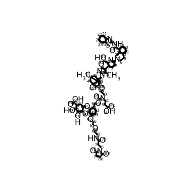 Cc1c(-c2ccc(N3CCc4cccc(C(=O)Nc5nc6ccccc6s5)c4C3)nc2C(=O)O)cnn1CC12CC3(C)CC(C)(C1)CC(OCCN(CCC(=O)O)C(=O)OCc1ccc(OCCOCCNC(=O)CCN4C(=O)C=CC4=O)cc1O[C@@H]1C[C@H](C(=O)O)[C@@H](O)[C@H](O)[C@H]1O)(C3)C2